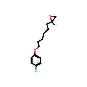 CC1(CCCCCCOc2ccc(Cl)cc2)CO1